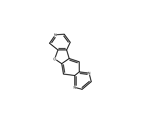 c1cc2c(cn1)oc1cc3nccnc3cc12